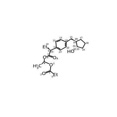 CCC(=O)OC(C)OC(=O)[C@@H](CC)c1ccc(C[C@H]2CCC[C@@H]2O)cc1